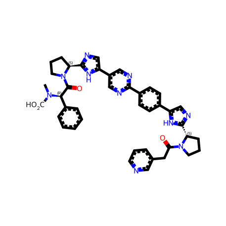 CN(C(=O)O)[C@@H](C(=O)N1CCC[C@H]1c1ncc(-c2cnc(-c3ccc(-c4cnc([C@@H]5CCCN5C(=O)Cc5cccnc5)[nH]4)cc3)nc2)[nH]1)c1ccccc1